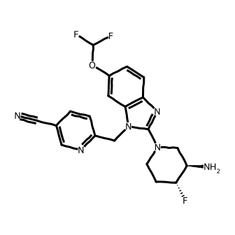 N#Cc1ccc(Cn2c(N3CC[C@@H](F)[C@H](N)C3)nc3ccc(OC(F)F)cc32)nc1